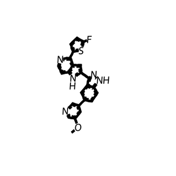 COc1cncc(-c2ccc3[nH]nc(-c4cc5c(-c6ccc(F)s6)nccc5[nH]4)c3c2)c1